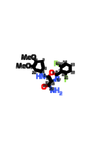 COc1ccc(Nc2oc(-c3c(F)cccc3F)nc2C(N)=O)cc1OC